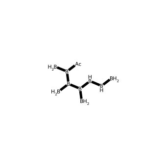 BBBB(B)B(B)B(B)C(C)=O